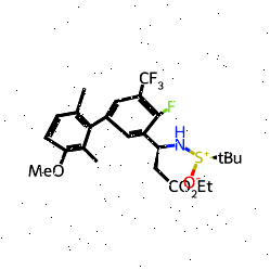 CCOC(=O)C[C@H](N[S@+]([O-])C(C)(C)C)c1cc(-c2c(C)ccc(OC)c2C)cc(C(F)(F)F)c1F